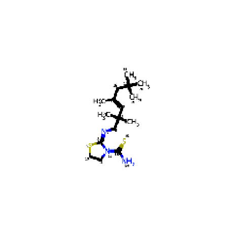 C/C(=C\C(C)(C)C/N=C1/SCCN1C(N)=S)CC(C)(C)C